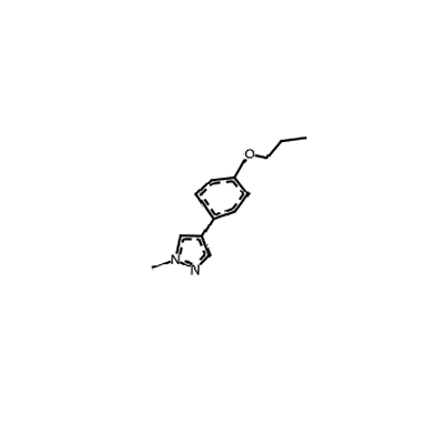 CCCOc1ccc(-c2cnn(C)c2)cc1